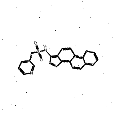 O=S(=O)(Cc1cccnc1)NC1=c2ccc3c4c(ccc3c2C=C1)=CC=CC4